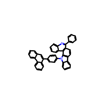 c1ccc(-c2nc3ccccc3c3c2ccc2c4ccccc4n(-c4ccc(-c5cc6ccccc6c6ccccc56)cc4)c23)cc1